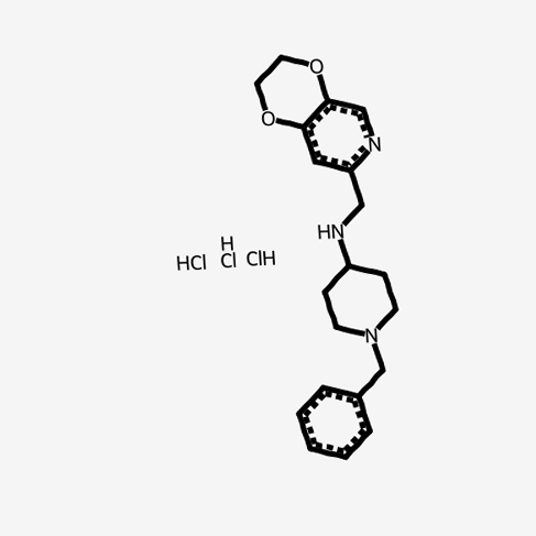 Cl.Cl.Cl.c1ccc(CN2CCC(NCc3cc4c(cn3)OCCO4)CC2)cc1